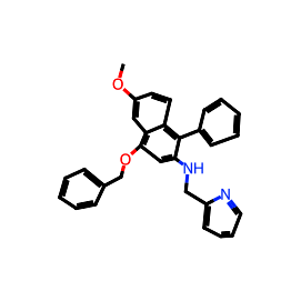 COc1ccc2c(-c3ccccc3)c(NCc3ccccn3)cc(OCc3ccccc3)c2c1